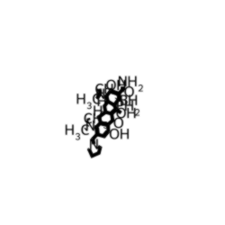 B=C1C(C(N)=O)=C(O)[C@@H](N(C)C)[C@@H]2C[C@@H]3Cc4c(c(O)cc(CN5CCCC5)c4N(C)C)C(=O)C3=C(O)[C@]12P